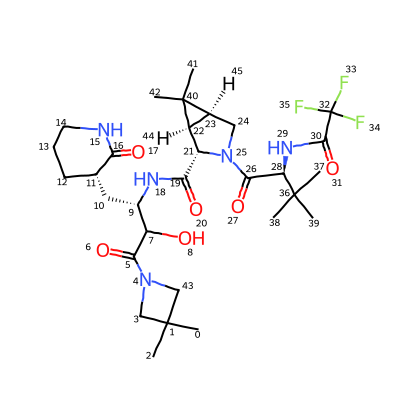 CC1(C)CN(C(=O)C(O)[C@H](C[C@@H]2CCCNC2=O)NC(=O)[C@@H]2[C@@H]3[C@H](CN2C(=O)[C@@H](NC(=O)C(F)(F)F)C(C)(C)C)C3(C)C)C1